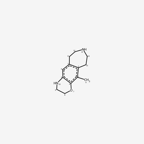 Cc1c2c(cc3c1OCCN3)CCNCC2